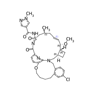 CO[C@H]1/C=C/C[C@H](C)CS(=O)(NC(=O)c2cnn(C)c2)=NC(=O)c2ccc3c(n2)N(Cc2ccc(Cl)cc2CCCCO3)C[C@@H]2CC[C@H]21